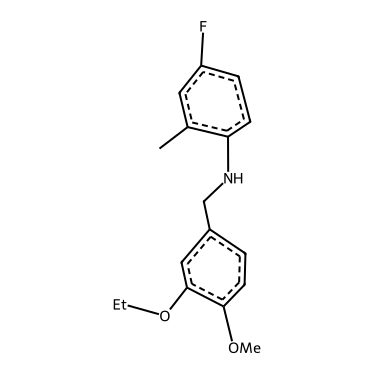 CCOc1cc(CNc2ccc(F)cc2C)ccc1OC